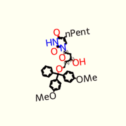 CCCCCc1cn([C@H]2C[C@H](O)[C@@H](COC(c3ccccc3)(c3ccc(OC)cc3)c3ccc(OC)cc3)O2)c(=O)[nH]c1=O